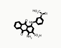 CCN(C(=O)O)c1cccc(Nc2cc(S(=O)(=O)O)c(N)c3c2C(=O)c2ccccc2C3=O)c1